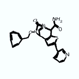 NC(=O)C1c2sc(-c3cccnc3)cc2C2CN1C(=O)N2OCc1ccccc1